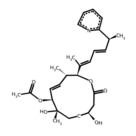 CC(=O)O[C@H]1/C=C/[C@H](C)[C@@H](/C(C)=C/C=C/[C@H](C)c2ccccn2)OC(=O)C[C@@H](O)CC[C@]1(C)O